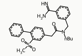 CCCCN(Cc1cccc(C(=N)N)c1)C(=O)Cc1ccc(-c2ccccc2)c(S(C)(=O)=O)c1